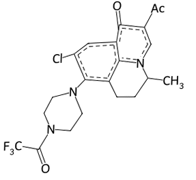 CC(=O)c1cn2c3c(c(N4CCN(C(=O)C(F)(F)F)CC4)c(Cl)cc3c1=O)CCC2C